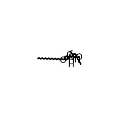 CCCCCCCCCCCCCCCCOc1ccc(C(=O)Nc2cc(C(=O)NCCCC)ccc2SC)cc1